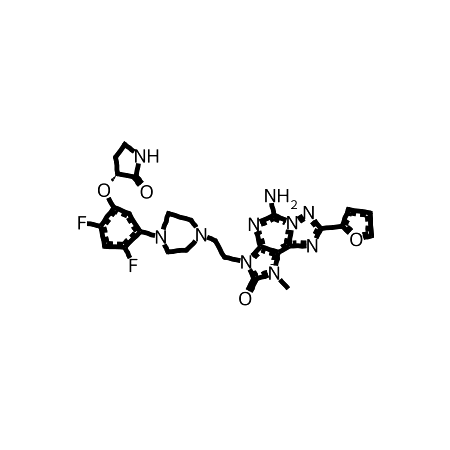 Cn1c(=O)n(CCN2CCN(c3cc(O[C@@H]4CCNC4=O)c(F)cc3F)CC2)c2nc(N)n3nc(-c4ccco4)nc3c21